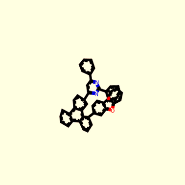 c1ccc(-c2cc(-c3ccc4c5ccccc5c5cccc(-c6ccc7c(c6)oc6ccccc67)c5c4c3)nc(-c3ccccc3)n2)cc1